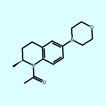 CC(=O)N1c2ccc(N3CCOCC3)cc2[C]C[C@@H]1C